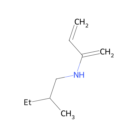 C=CC(=C)NCC(C)CC